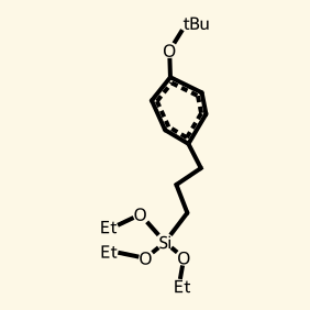 CCO[Si](CCCc1ccc(OC(C)(C)C)cc1)(OCC)OCC